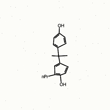 CCCc1cc(C(C)(C)c2ccc(O)cc2)ccc1O